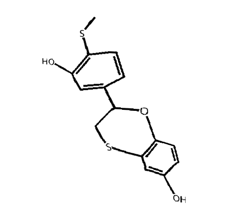 CSc1ccc(C2CSc3cc(O)ccc3O2)cc1O